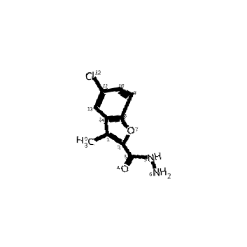 Cc1c(C(=O)NN)oc2ccc(Cl)cc12